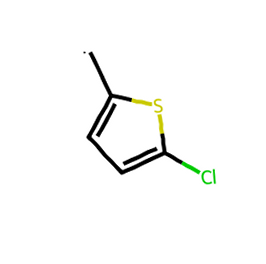 [CH2]c1ccc(Cl)s1